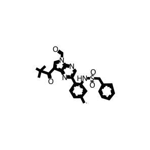 [CH2]c1ccc(-c2cnc3c(n2)c(C(=O)C(C)(C)C)cn3C=O)c(NS(=O)(=O)Cc2ccccc2)c1